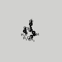 CC(C)N1CC=C(c2c[nH]c3ccc(N(C=O)CCCCc4ccc(C(F)(F)F)cc4)cc23)CC1.COc1cccc(C(=O)O)c1